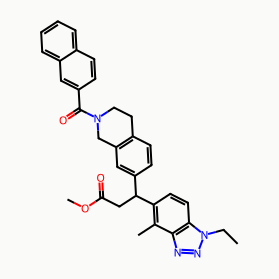 CCn1nnc2c(C)c(C(CC(=O)OC)c3ccc4c(c3)CN(C(=O)c3ccc5ccccc5c3)CC4)ccc21